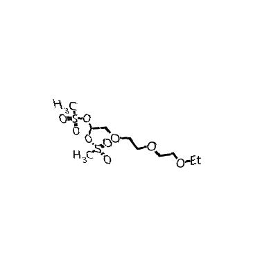 CCOCCOCCOCC(OS(C)(=O)=O)OS(C)(=O)=O